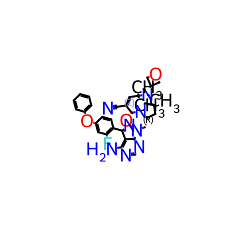 CN(C1COC1)C(C)(C)/C=C(/C#N)C(=O)N1CCC[C@@H]1Cn1nc(-c2ccc(Oc3ccccc3)cc2F)c2c(N)ncnc21